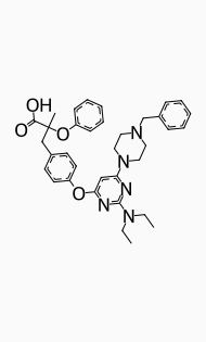 CCN(CC)c1nc(Oc2ccc(CC(C)(Oc3ccccc3)C(=O)O)cc2)cc(N2CCN(Cc3ccccc3)CC2)n1